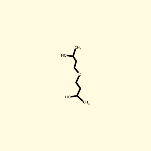 CC(O)CCOCCC(C)O